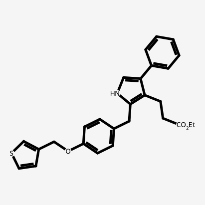 CCOC(=O)CCc1c(-c2ccccc2)c[nH]c1Cc1ccc(OCc2ccsc2)cc1